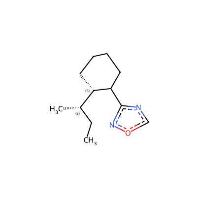 CC[C@H](C)[C@@H]1CCCCC1c1ncon1